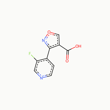 O=C(O)c1conc1-c1ccncc1F